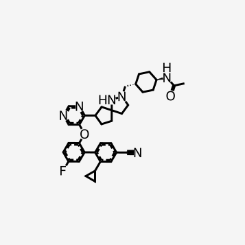 CC(=O)N[C@H]1CC[C@H](CN2CCC3(CCC(c4ncncc4Oc4ccc(F)cc4-c4ccc(C#N)cc4C4CC4)C3)N2)CC1